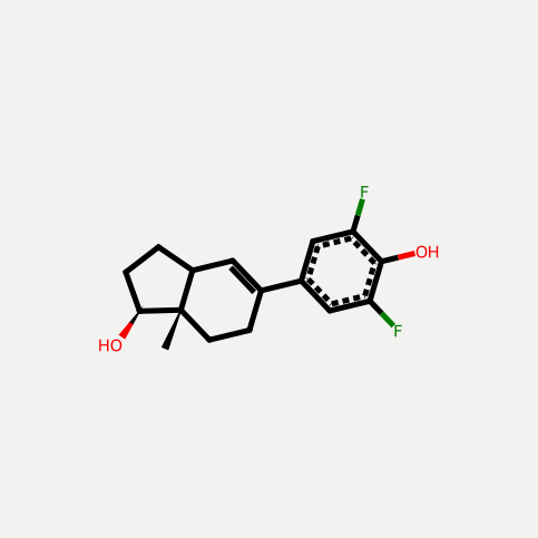 C[C@]12CCC(c3cc(F)c(O)c(F)c3)=CC1CC[C@@H]2O